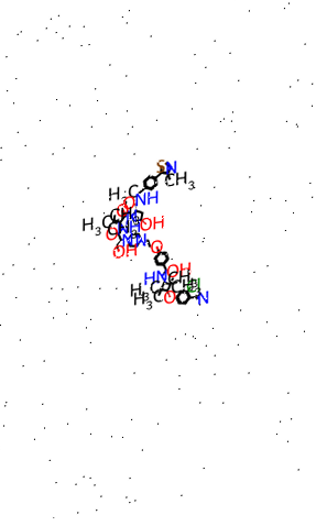 Cc1ncsc1-c1ccc([C@H](C)NC(=O)[C@@H]2C[C@@H](O)CN2C(=O)[C@@H](NC(=O)[C@H](CO)N2CCN(CCOc3ccc(C(O)N[C@H]4C(C)(C)[C@H](Oc5ccc(C#N)c(Cl)c5)C4(C)C)cc3)CC2)C(C)(C)C)cc1